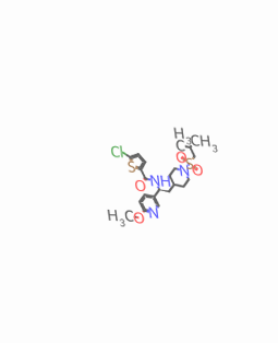 COc1ccc([C@H](CC2CCN(S(=O)(=O)CC(C)C)CC2)NC(=O)c2ccc(Cl)s2)cn1